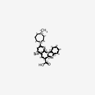 CN1CCCN(c2ccc3cc(C(=O)O)c4nc5ccccc5n4c3n2)CC1.[NaH]